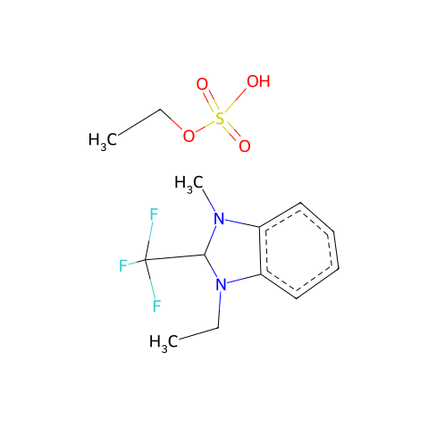 CCN1c2ccccc2N(C)C1C(F)(F)F.CCOS(=O)(=O)O